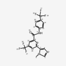 Cn1cncc1-c1nc(C(=O)Nc2ccc(C(F)(F)F)nc2)cc(C(F)(F)F)n1